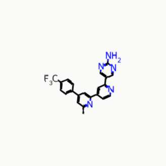 Cc1cc(-c2ccc(C(F)(F)F)cc2)cc(-c2ccnc(-c3cnc(N)nc3)c2)n1